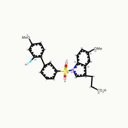 COc1ccc(-c2cccc(S(=O)(=O)n3cc(CCC(=O)O)c4cc(OC)ccc43)c2)c(F)c1